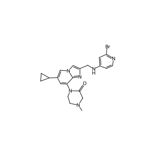 CN1CCN(c2cc(C3CC3)cn3cc(CNc4ccnc(Br)c4)nc23)C(=O)C1